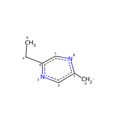 [CH2]c1cnc(CC)cn1